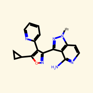 CC(C)n1nc(-c2noc(C3CC3)c2-c2ccccn2)c2c(N)nccc21